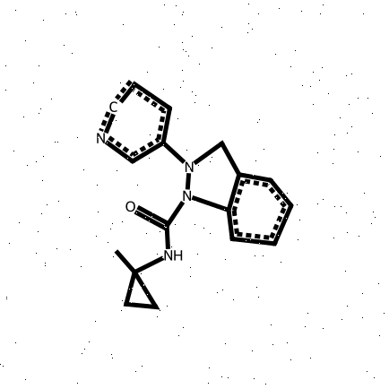 CC1(NC(=O)N2c3ccccc3CN2c2cccnc2)CC1